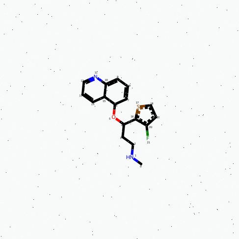 CNCCC(OC1C=CC=C2N=CC=CC21)c1sccc1F